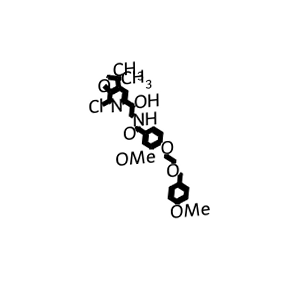 COc1ccc(COCCOc2ccc(C(=O)NCC(O)c3cc4c(c(Cl)n3)OCC4(C)C)cc2OC)cc1